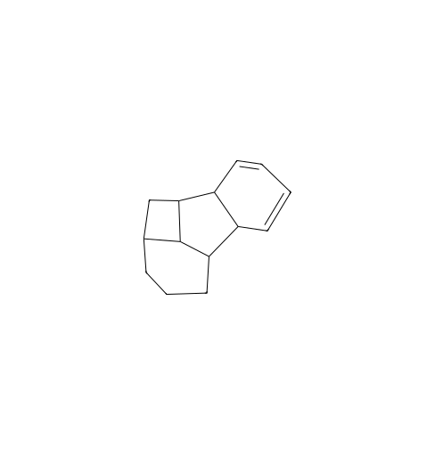 C1=CC2C(C=C1)C1CC3CCCC2C31